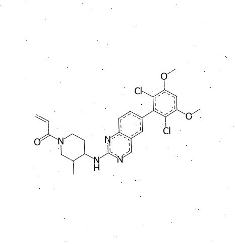 C=CC(=O)N1CCC(Nc2ncc3cc(-c4c(Cl)c(OC)cc(OC)c4Cl)ccc3n2)C(C)C1